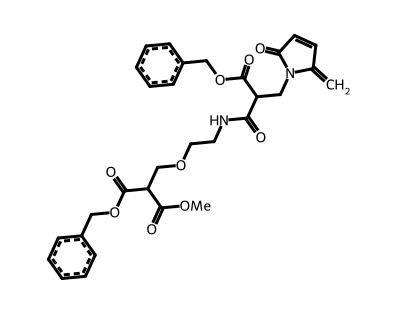 C=C1C=CC(=O)N1CC(C(=O)NCCOCC(C(=O)OC)C(=O)OCc1ccccc1)C(=O)OCc1ccccc1